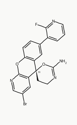 NC1=NCC[C@]2(O1)c1cc(-c3cccnc3F)ccc1Oc1ncc(Br)cc12